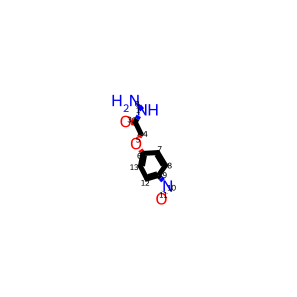 NNC(=O)COc1ccc(N=O)cc1